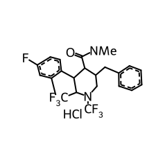 CNC(=O)C1C(Cc2ccccc2)CN(C(F)(F)F)C(C(F)(F)F)C1c1ccc(F)cc1C.Cl